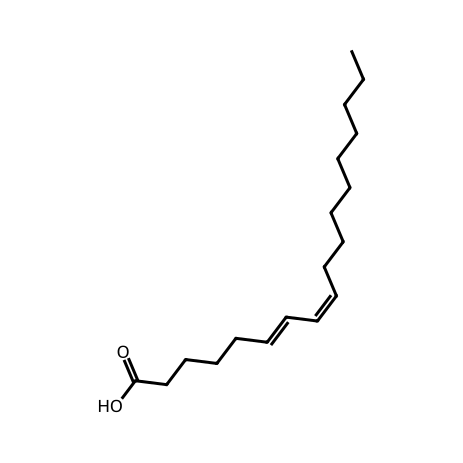 CCCCCCCCC/C=C\C=C\CCCCC(=O)O